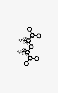 CC(C)(C)c1cc(-c2cncc(-c3cc(-c4cc(C5CCCCC5)cc(C5CCCCC5)c4)cc(C(C)(C)C)c3)c2)cc(-c2cc(C3CCCCC3)cc(C3CCCCC3)c2)c1